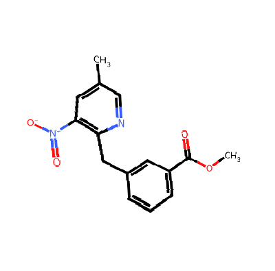 COC(=O)c1cccc(Cc2ncc(C)cc2[N+](=O)[O-])c1